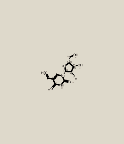 C=Cc1cn([C@@H]2O[C@H](CO)[C@@H](O)[C@H]2F)c(=O)[nH]c1=O